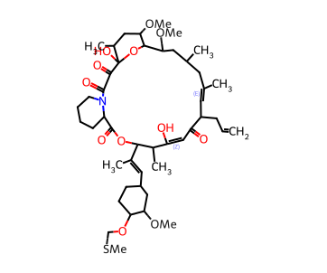 C=CCC1/C=C(\C)CC(C)CC(OC)C2OC(O)(C(=O)C(=O)N3CCCCC3C(=O)OC(C(C)=CC3CCC(OCSC)C(OC)C3)C(C)/C(O)=C/C1=O)C(C)CC2OC